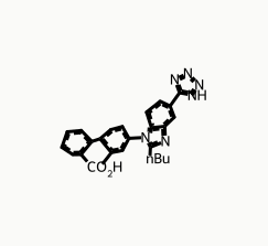 CCCCc1nc2cc(-c3nnn[nH]3)ccc2n1-c1ccc(-c2ccccc2C(=O)O)c(C)c1